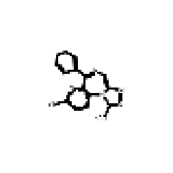 CCCCC1N=NC2=CN=C(C3=CCCC=C3)c3nc(Cl)ccc3N21